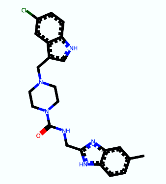 Cc1ccc2[nH]c(CNC(=O)N3CCN(Cc4c[nH]c5ccc(Cl)cc45)CC3)nc2c1